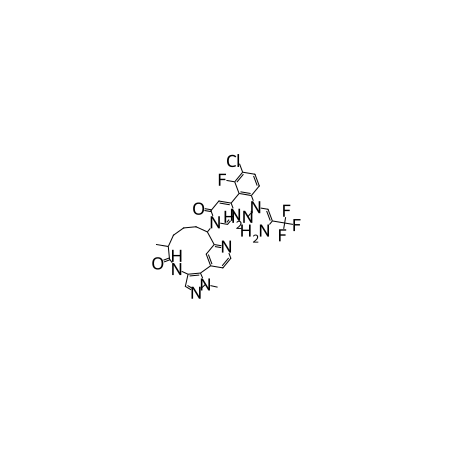 CC1CCCC(n2cnc(-c3c(N(N)/C=C(\N)C(F)(F)F)ccc(Cl)c3F)cc2=O)c2cc(ccn2)-c2c(cnn2C)NC1=O